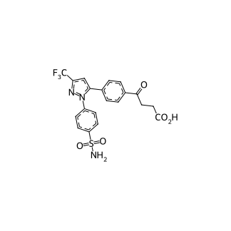 NS(=O)(=O)c1ccc(-n2nc(C(F)(F)F)cc2-c2ccc(C(=O)CCC(=O)O)cc2)cc1